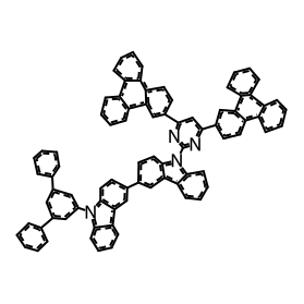 c1ccc(-c2cc(-c3ccccc3)cc(-n3c4ccccc4c4cc(-c5ccc6c(c5)c5ccccc5n6-c5nc(-c6ccc7c8ccccc8c8ccccc8c7c6)cc(-c6ccc7c8ccccc8c8ccccc8c7c6)n5)ccc43)c2)cc1